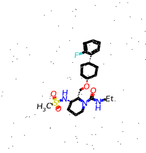 CCNC(=O)N1CCC[C@H](NS(C)(=O)=O)[C@@H]1CO[C@H]1CC[C@@H](c2ccccc2F)CC1